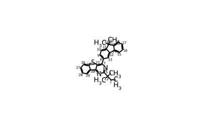 CCC(C)(C)c1nc(-c2ccc3c(c2)-c2ccccc2C3(C)C)c2sc3ccccc3c2n1